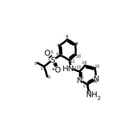 CC(C)S(=O)(=O)c1ccccc1Nc1ccnc(N)n1